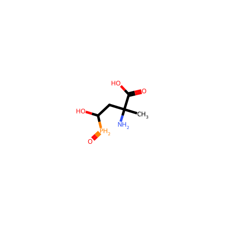 CC(N)(CC(O)[PH2]=O)C(=O)O